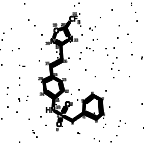 O=S(=O)(Cc1ccccc1)Nc1ccc(C=Cc2noc(C(F)(F)F)n2)cc1